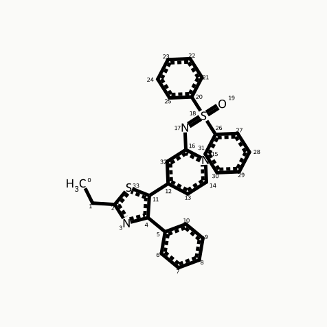 CCc1nc(-c2ccccc2)c(-c2ccnc(N=S(=O)(c3ccccc3)c3ccccc3)c2)s1